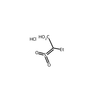 CCC(C(=O)O)=S(=O)=O.Cl